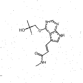 CNC(=O)/C=C/c1c[nH]c2ncnc(OCC(C)(C)O)c12